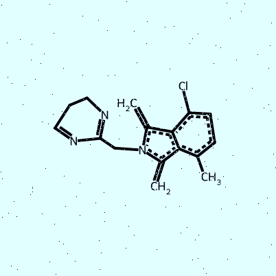 C=c1c2c(C)ccc(Cl)c2c(=C)n1CC1=NCCC=N1